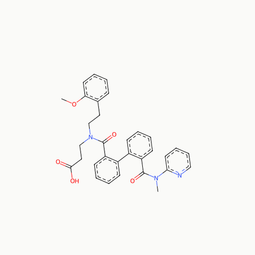 COc1ccccc1CCN(CCC(=O)O)C(=O)c1ccccc1-c1ccccc1C(=O)N(C)c1ccccn1